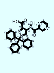 CN(C(=O)c1cnccn1)c1cn(C(c2ccccc2)(c2ccccc2)c2ccccc2)nc1C(=O)O